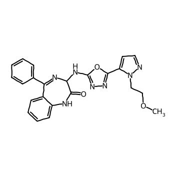 COCCn1nccc1-c1nnc(NC2N=C(c3ccccc3)c3ccccc3NC2=O)o1